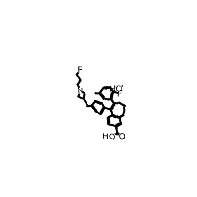 Cc1ccc(F)c(C2=C(c3ccc(CC4CN(CCCF)C4)cc3)c3ccc(C(=O)O)cc3CCC2)c1.Cl